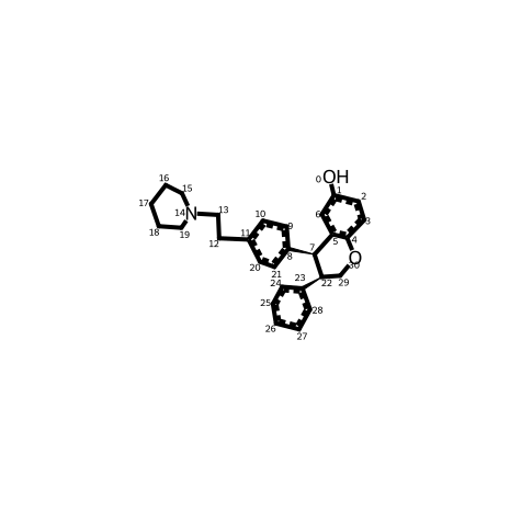 Oc1ccc2c(c1)[C@H](c1ccc(CCN3CCCCC3)cc1)[C@H](c1ccccc1)CO2